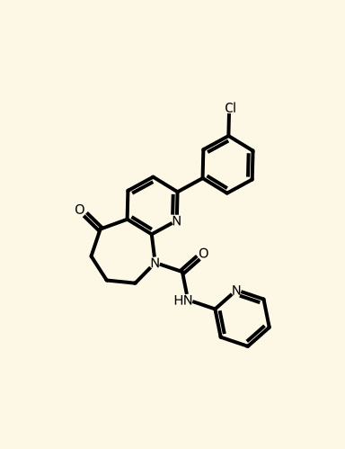 O=C1CCCN(C(=O)Nc2ccccn2)c2nc(-c3cccc(Cl)c3)ccc21